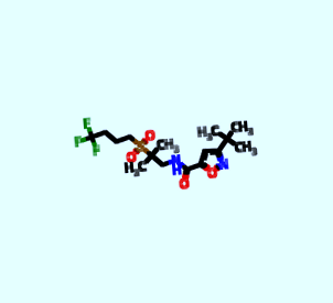 CC(C)(C)c1cc(C(=O)NCC(C)(C)S(=O)(=O)CCCC(F)(F)F)on1